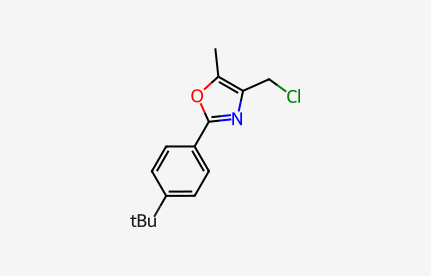 Cc1oc(-c2ccc(C(C)(C)C)cc2)nc1CCl